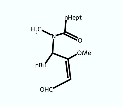 CCCCCCCC(=O)N(C)C(CCCC)/C(=C\C=O)OC